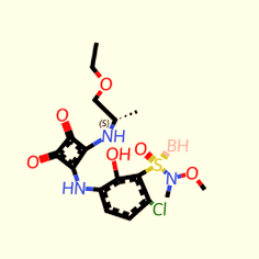 B=S(=O)(c1c(Cl)ccc(Nc2c(N[C@@H](C)COCC)c(=O)c2=O)c1O)N(C)OC